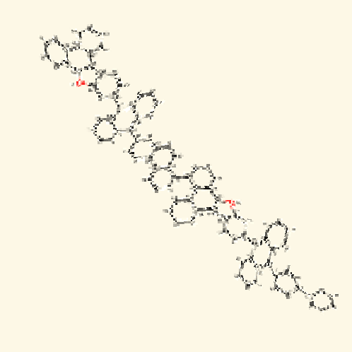 c1ccc(-c2ccc(-c3c4ccccc4c(-c4ccc5c(c4)oc4c6cccc(-c7cccc8c7ccc7cc(-c9c%10ccccc%10c(-c%10ccc%11c(c%10)oc%10c%12ccccc%12c%12ccccc%12c%11%10)c%10ccccc9%10)ccc78)c6c6ccccc6c54)c4ccccc34)cc2)cc1